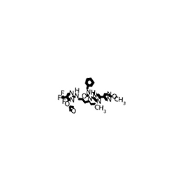 CCC[C@@H](CCCNc1ncc(C(F)(F)F)c(OC2COC2)n1)N(C(=O)NCc1ccccc1)c1cnc(-c2cnc(OC)nc2)cn1